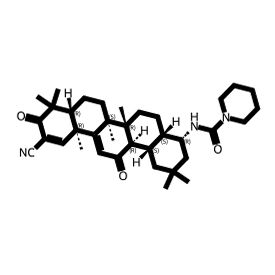 CC1(C)C[C@H]2[C@H](CC[C@]3(C)[C@@H]2C(=O)C=C2[C@@]4(C)C=C(C#N)C(=O)C(C)(C)[C@@H]4CC[C@]23C)[C@H](NC(=O)N2CCCCC2)C1